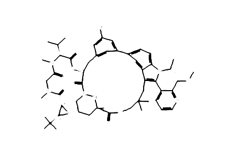 CCn1c(-c2cccnc2[C@H](C)OC)c2c3cc(ccc31)-c1cc(O)cc(c1)C[C@H](NC(=O)[C@H](C(C)C)N(C)C(=O)CN(C)C(=O)[C@@H]1N[C@H]1C(F)(F)F)C(=O)N1CCC[C@H](N1)C(=O)OCC(C)(C)C2